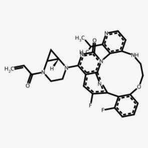 C=CC(=O)N1CCN(c2nc(=O)n3c4nc(c(F)cc24)-c2c(F)cccc2OCCNc2ccnc(C(C)C)c2-3)[C@H]2CC21